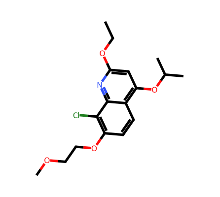 CCOc1cc(OC(C)C)c2ccc(OCCOC)c(Cl)c2n1